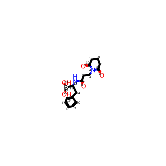 O=C(CCN1C(=O)CCCC1=O)NC(Cc1ccccc1)B(O)O